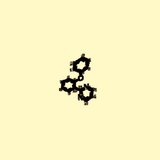 c1ccc(Oc2ccccc2-c2ncccn2)cc1